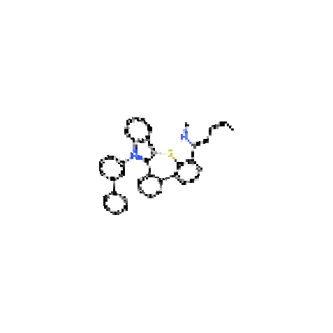 C=N/C(=C\C=C/C)c1cccc2c1Sc1c(n(-c3cccc(-c4ccccc4)c3)c3ccccc13)-c1ccccc1-2